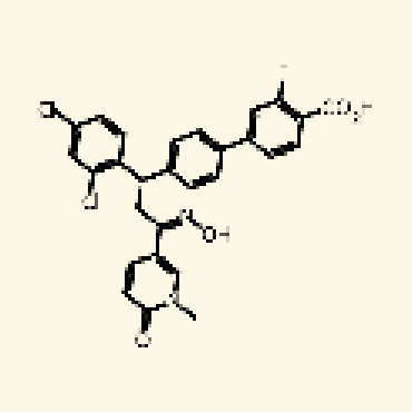 Cn1cc(C(C[C@H](c2ccc(-c3ccc(C(=O)O)c(F)c3)cc2)c2ccc(Cl)cc2Cl)=NO)ccc1=O